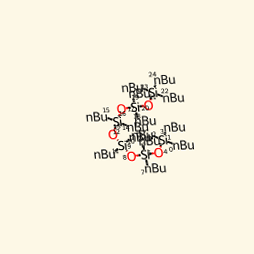 CCCC[Si](CCCC)(CCCC)O[Si](CCCC)(CCCC)O[Si](CCCC)(CCCC)O[Si](CCCC)(CCCC)O[Si](CCCC)(CCCC)O[Si](CCCC)(CCCC)CCCC